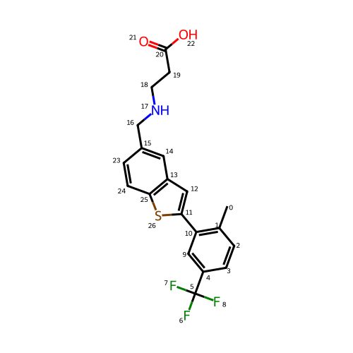 Cc1ccc(C(F)(F)F)cc1-c1cc2cc(CNCCC(=O)O)ccc2s1